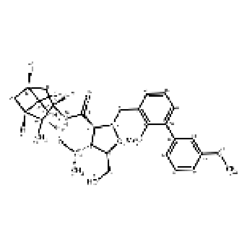 COc1c(CN2O[C@@H](CO)[C@H]([C@H](C)O)[C@H]2C(=O)N[C@H]2C[C@H]3C[C@@H]([C@@H]2C)C3(C)C)cccc1-c1cccc(OC(F)(F)F)c1